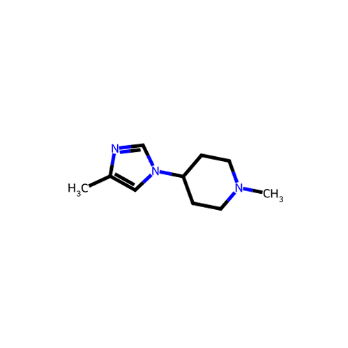 Cc1cn(C2CCN(C)CC2)cn1